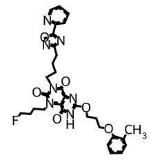 Cc1ccccc1OCCCOc1nc2c(=O)n(CCCCc3noc(-c4ccccn4)n3)c(=O)n(CCCCF)c2c(=O)[nH]1